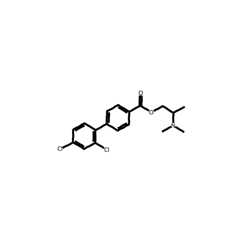 CC(COC(=O)c1ccc(-c2ccc(Cl)cc2Cl)cc1)N(C)C